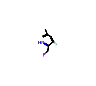 C=C(C)/C=C(/F)C(=N)CI